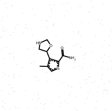 Cc1csc(C(N)=O)c1C1CNCO1